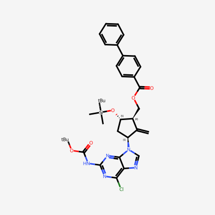 C=C1[C@H](COC(=O)c2ccc(-c3ccccc3)cc2)[C@@H](O[Si](C)(C)C(C)(C)C)C[C@@H]1n1cnc2c(Cl)nc(NC(=O)OC(C)(C)C)nc21